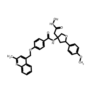 COc1ccc(C2CC(CC(=O)NO)(NC(=O)c3ccc(OCc4cc(C)nc5ccccc45)cc3)CO2)cc1